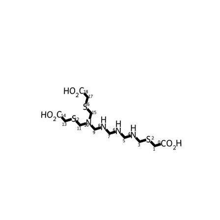 O=C(O)CSCNCNCNCN(CSCC(=O)O)CSCC(=O)O